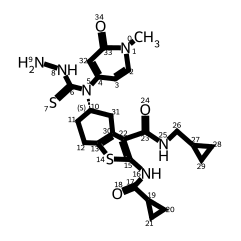 Cn1ccc(N(C(=S)NN)[C@H]2CCc3sc(NC(=O)C4CC4)c(C(=O)NCC4CC4)c3C2)cc1=O